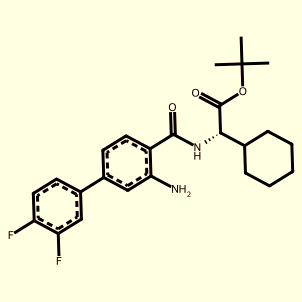 CC(C)(C)OC(=O)[C@@H](NC(=O)c1ccc(-c2ccc(F)c(F)c2)cc1N)C1CCCCC1